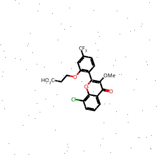 COc1c(-c2ccc(C(F)(F)F)cc2OCCC(=O)O)oc2c(Cl)cccc2c1=O